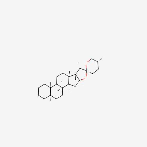 C[C@H]1CC[C@@]2(OC1)O[C@H]1C[C@H]3[C@@H]4CC[C@@H]5CCCC[C@]5(C)[C@H]4CC[C@]3(C)[C@@H]1[C@@H]2C